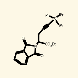 CCOC(=O)C(CC#C[Si](C(C)C)(C(C)C)C(C)C)N1C(=O)c2ccccc2C1=O